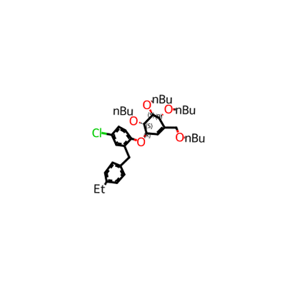 CCCCOCC1=C[C@@H](Oc2ccc(Cl)cc2Cc2ccc(CC)cc2)[C@H](OCCCC)[C@@H](OCCCC)[C@@H]1OCCCC